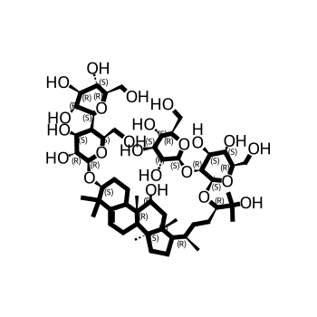 C[C@H](CC[C@@H](O[C@@H]1O[C@H](CO)[C@@H](O)[C@H](O)[C@H]1O[C@@H]1O[C@H](CO)[C@@H](O)[C@H](O)[C@H]1O)C(C)(C)O)C1CC[C@@]2(C)C3CC=C4C(CC[C@H](O[C@@H]5O[C@H](CO)C([C@@H]6O[C@H](CO)[C@@H](O)[C@H](O)[C@H]6O)[C@H](O)[C@H]5O)C4(C)C)[C@]3(C)[C@H](O)C[C@]12C